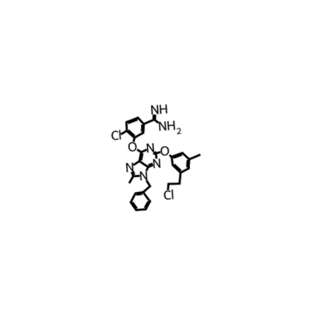 Cc1cc(CCCl)cc(Oc2nc(Oc3cc(C(=N)N)ccc3Cl)c3nc(C)n(Cc4ccccc4)c3n2)c1